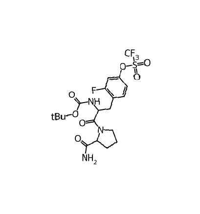 CC(C)(C)OC(=O)NC(Cc1ccc(OS(=O)(=O)C(F)(F)F)cc1F)C(=O)N1CCCC1C(N)=O